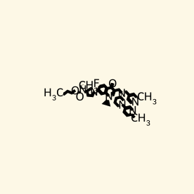 CCCCOC(=O)N(C)[C@@H]1CCN(c2cc3c(cc2F)c(=O)c(CN(Cc2ccnc(C)c2)[C@H]2CCCN(c4ccc(C)nc4)C2)cn3C2CC2)C1